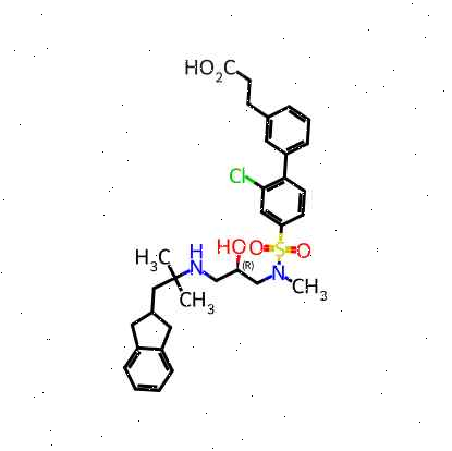 CN(C[C@H](O)CNC(C)(C)CC1Cc2ccccc2C1)S(=O)(=O)c1ccc(-c2cccc(CCC(=O)O)c2)c(Cl)c1